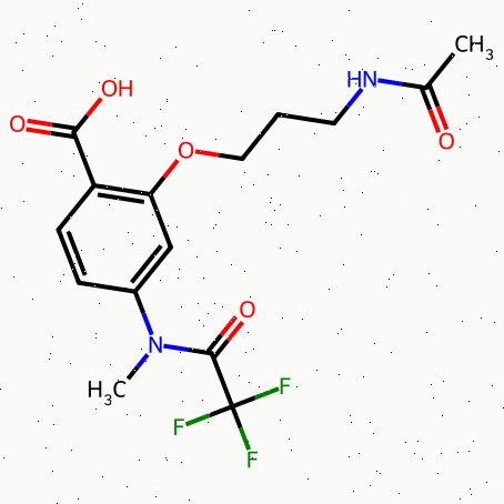 CC(=O)NCCCOc1cc(N(C)C(=O)C(F)(F)F)ccc1C(=O)O